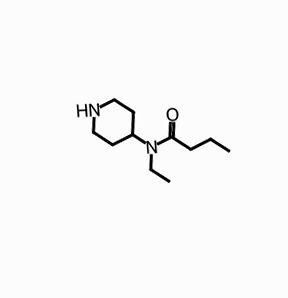 CCCC(=O)N(CC)C1CCNCC1